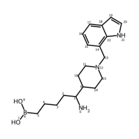 NC(CCCCB(O)O)C1CCN(Cc2cccc3cc[nH]c23)CC1